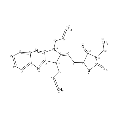 C=CCN1C(=C/C=C2/SC(=S)N(CC)C2=O)N(CC=C)c2nc3ccccc3nc21